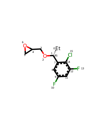 CC[C@@H](OCC1CO1)c1cc(F)cc(F)c1Cl